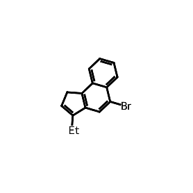 CCC1=CCc2c1cc(Br)c1ccccc21